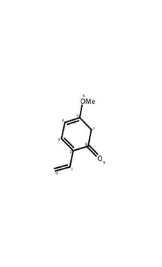 C=CC1=CC=C(OC)CC1=O